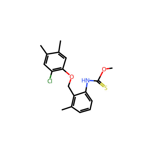 COC(=S)Nc1cccc(C)c1COc1cc(C)c(C)cc1Cl